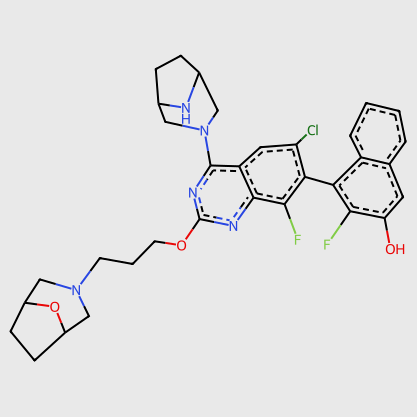 Oc1cc2ccccc2c(-c2c(Cl)cc3c(N4CC5CCC(C4)N5)nc(OCCCN4CC5CCC(C4)O5)nc3c2F)c1F